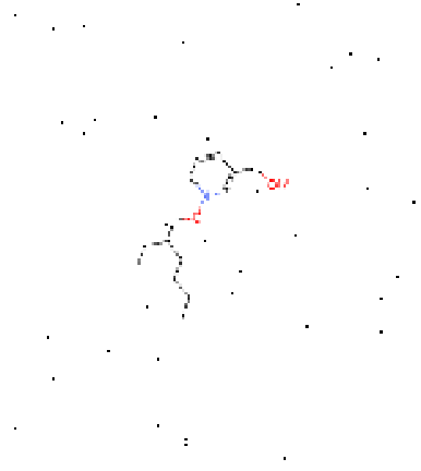 CCCCC(CC)CO[n+]1cccc(CO)c1